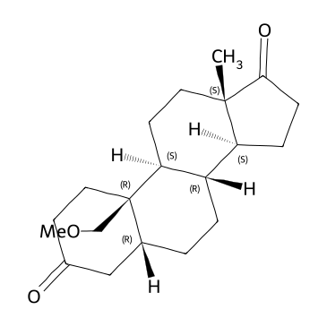 COC[C@]12CCC(=O)C[C@H]1CC[C@@H]1[C@@H]2CC[C@]2(C)C(=O)CC[C@@H]12